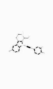 CCC1c2c(c3cc(Cl)ccc3n2C#Cc2ccc(Cl)c(Cl)c2)CCN1C